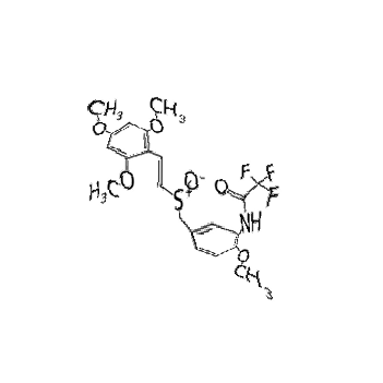 COc1cc(OC)c(C=C[S+]([O-])Cc2ccc(OC)c(NC(=O)C(F)(F)F)c2)c(OC)c1